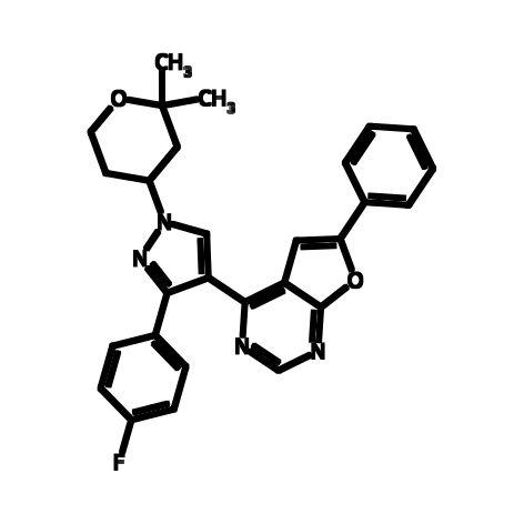 CC1(C)CC(n2cc(-c3ncnc4oc(-c5ccccc5)cc34)c(-c3ccc(F)cc3)n2)CCO1